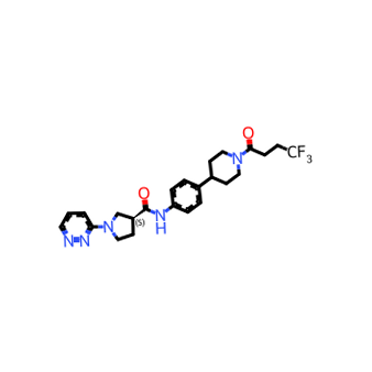 O=C(Nc1ccc(C2CCN(C(=O)CCC(F)(F)F)CC2)cc1)[C@H]1CCN(c2cccnn2)C1